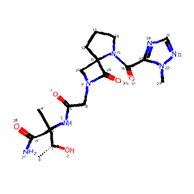 C[C@@H](O)C(C)(NC(=O)CN1CC2(CCCN2C(=O)c2ncnn2C)C1=O)C(N)=O